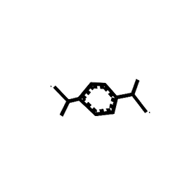 [CH2]C(C)c1ccc(C([CH2])C)cc1